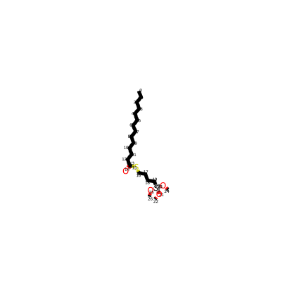 CCCCCCCCCCCCCC(=O)SCCCC[Si](OC)(OC)OC